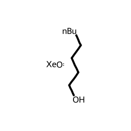 CCCCCCCCO.[O].[Xe]